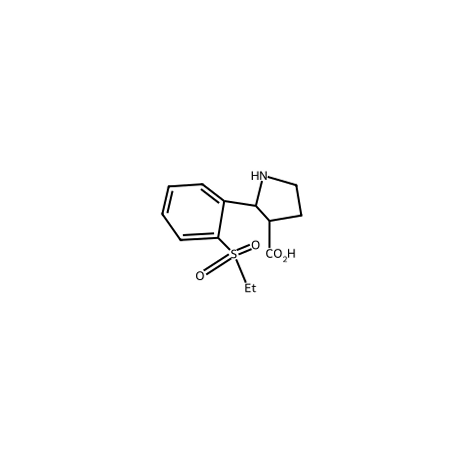 CCS(=O)(=O)c1ccccc1C1NCCC1C(=O)O